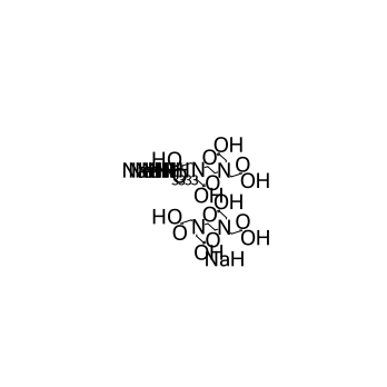 N.N.N.N.O=C(O)CN(CCN(CC(=O)O)CC(=O)O)CC(=O)O.O=C(O)CN(CCN(CC(=O)O)CC(=O)O)CC(=O)O.[NaH].[NaH].[NaH].[NaH]